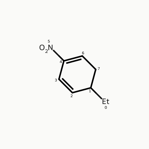 CCC1C=CC([N+](=O)[O-])=CC1